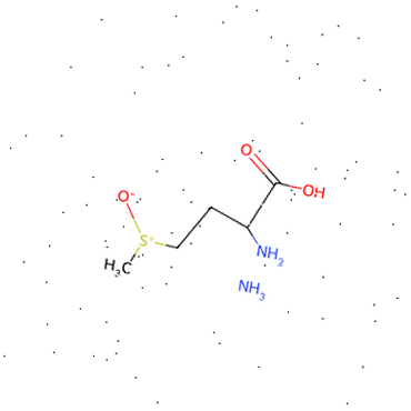 C[S+]([O-])CCC(N)C(=O)O.N